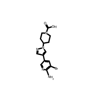 Nc1ncc(-c2cnn(C3CCN(C(=O)O)CC3)c2)cc1Br